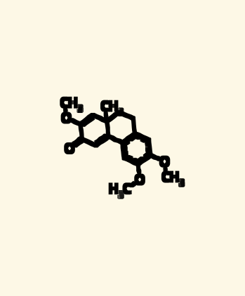 COC1=CC2(C)CCc3cc(OC)c(OC)cc3C2=CC1=O